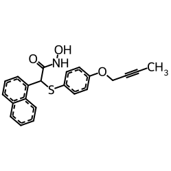 CC#CCOc1ccc(SC(C(=O)NO)c2cccc3ccccc23)cc1